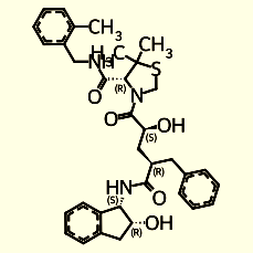 Cc1ccccc1CNC(=O)[C@H]1N(C(=O)[C@@H](O)C[C@@H](Cc2ccccc2)C(=O)N[C@H]2c3ccccc3C[C@H]2O)CSC1(C)C